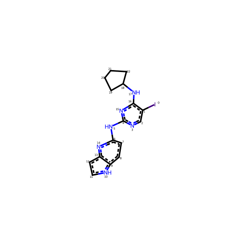 Ic1cnc(Nc2ccc3[nH]ccc3n2)nc1NC1CCCC1